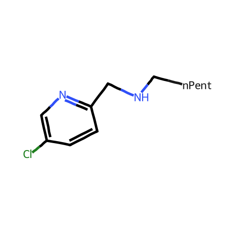 CCCCCCNCc1ccc(Cl)cn1